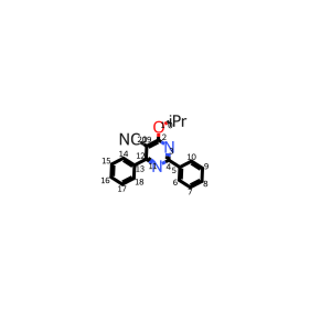 CC(C)Oc1nc(-c2ccccc2)nc(-c2ccccc2)c1C#N